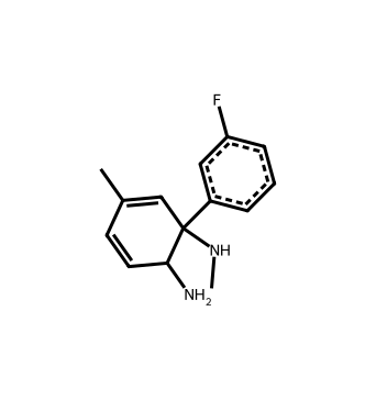 CNC1(c2cccc(F)c2)C=C(C)C=CC1N